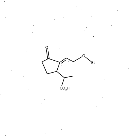 CCOC/C=C1/C(=O)CCC1C(C)C(=O)O